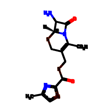 Cc1csc(C(=O)SCC2=C(C(=O)O)N3C(=O)C(N)[C@@H]3SC2)n1